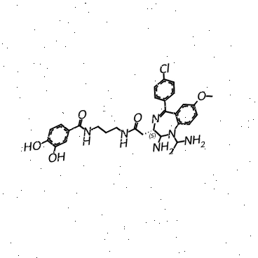 COc1ccc2c(c1)C(c1ccc(Cl)cc1)=N[C@@H](CC(=O)NCCCNC(=O)c1ccc(O)c(O)c1)C(N)N2C(C)N